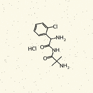 CC(C)(N)C(=O)NC(=O)C(N)c1ccccc1Cl.Cl